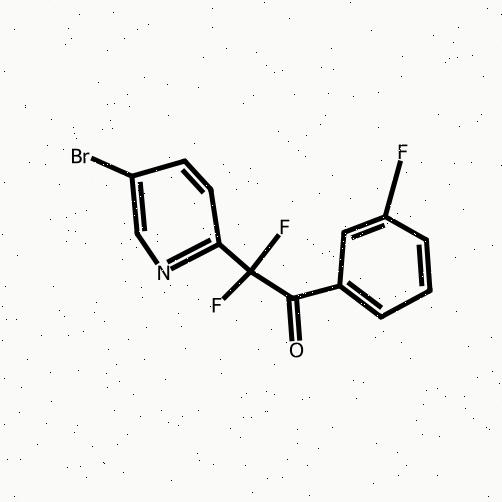 O=C(c1cccc(F)c1)C(F)(F)c1ccc(Br)cn1